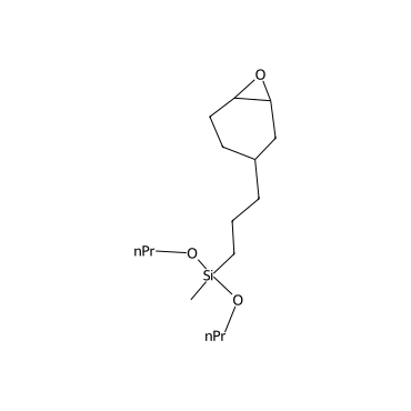 CCCO[Si](C)(CCCC1CCC2OC2C1)OCCC